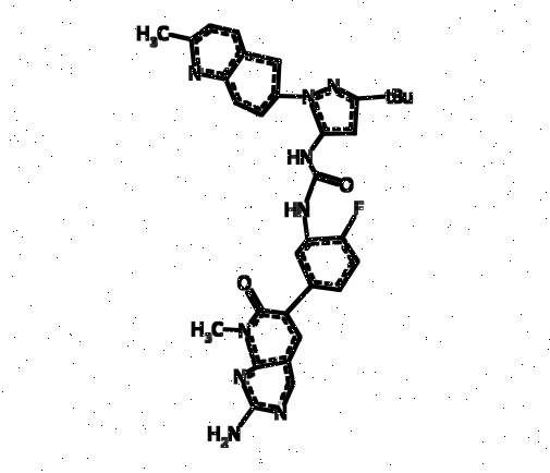 Cc1ccc2cc(-n3nc(C(C)(C)C)cc3NC(=O)Nc3cc(-c4cc5cnc(N)nc5n(C)c4=O)ccc3F)ccc2n1